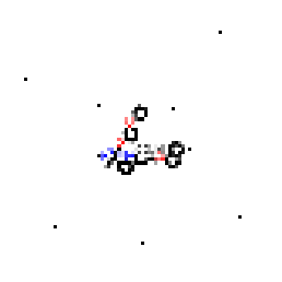 Cc1c(-c2cccc3c(CCCOc4cccc5ccccc45)c(C(=O)O)[nH]c23)c(COc2cccc(Oc3ccccc3)c2)nn1C